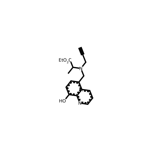 C#CCN(Cc1ccc(O)c2ncccc12)C(C)C(=O)OCC